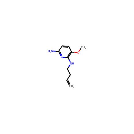 C=CCCNc1nc(N)ccc1OC